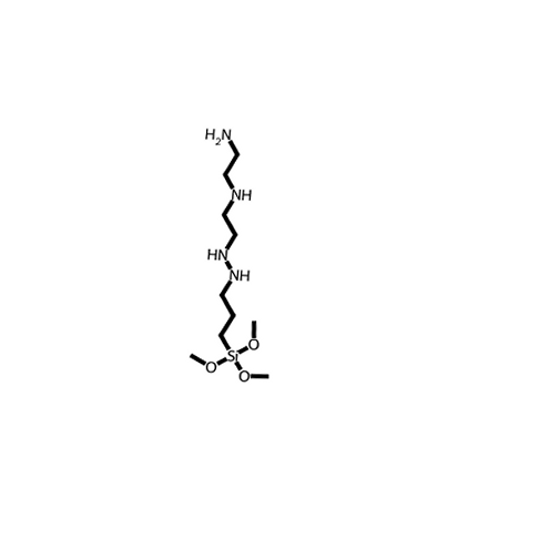 CO[Si](CCCNNCCNCCN)(OC)OC